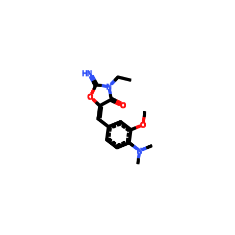 CCN1C(=N)O/C(=C/c2ccc(N(C)C)c(OC)c2)C1=O